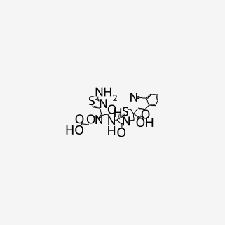 N#Cc1ccccc1C=CC1(C(=O)O)CS[C@@H]2C(NC(=O)C(=NOCC(=O)O)c3csc(N)n3)C(=O)N2C1